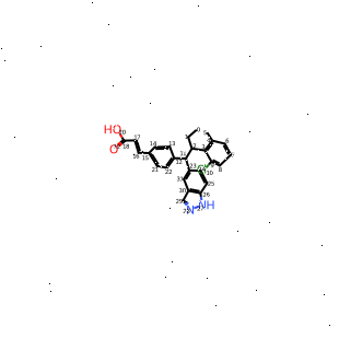 CCC(c1c(C)cccc1Cl)C(c1ccc(/C=C/C(=O)O)cc1)c1ccc2[nH]ncc2c1